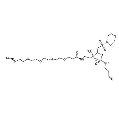 CC(C)(CCNC(=O)CCOCCOCCOCCOCCN=[N+]=[N-])C(CS(=O)(=O)N1CCSCC1)OC(=O)NCCC=O